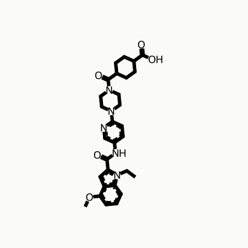 CCn1c(C(=O)Nc2ccc(N3CCN(C(=O)C4CCC(C(=O)O)CC4)CC3)nc2)cc2c(OC)cccc21